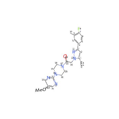 CCc1cc(-c2ccc(F)c(C)c2)nn1CC(=O)N1CCN(c2ncc(OC)cn2)CC1